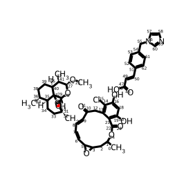 CC1CC2OC2/C=C\C=C\C(=O)Cc2c(Cl)c(O)cc(O)c2C(=O)O1.CO[C@H]1O[C@@H]2O[C@]3(C)CC[C@H]4[C@H](C)CC[C@@H]([C@H]1C)C24OO3.O=C(O)/C=C/c1ccc(Cn2ccnc2)cc1